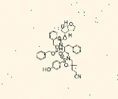 CC(C)(CCC#N)CN(C[C@@H](OP(OCc1ccccc1)OCc1ccccc1)[C@H](Cc1ccccc1)NC(=O)O[C@H]1CO[C@H]2OCC[C@H]21)S(=O)(=O)c1ccc(O)cc1